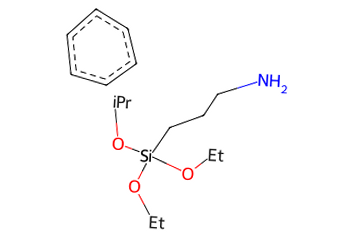 CCO[Si](CCCN)(OCC)OC(C)C.c1ccccc1